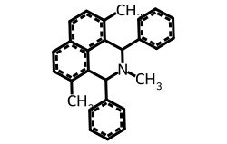 Cc1ccc2ccc(C)c3c2c1C(c1ccccc1)N(C)C3c1ccccc1